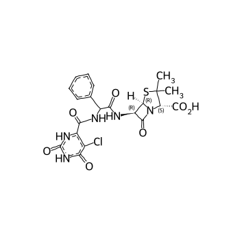 CC1(C)S[C@@H]2[C@H](NC(=O)C(NC(=O)c3[nH]c(=O)[nH]c(=O)c3Cl)c3ccccc3)C(=O)N2[C@H]1C(=O)O